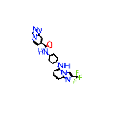 O=C(N[C@H]1CC[C@@H](Nc2cccc3nc(C(F)(F)F)cn23)CC1)c1ccn2cnnc2c1